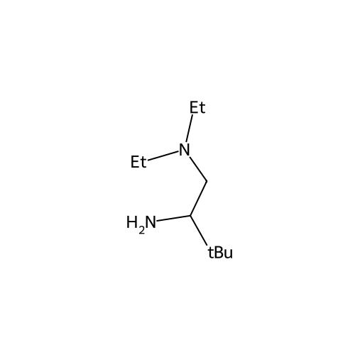 CCN(CC)CC(N)C(C)(C)C